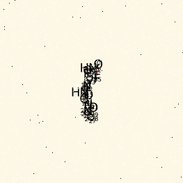 O=C1CCC(c2c(F)cc(N3CC(NC(=O)OC4CN(C(=O)N5CCc6ccccc65)C4)C3)cc2F)C(=O)N1